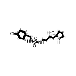 C[C@]1(CCCCNS(=O)(=O)NCc2ccc(Cl)cc2)CCCN1